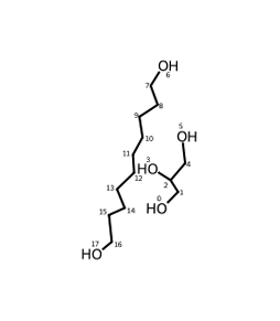 OCC(O)CO.OCCCCCCCCCCO